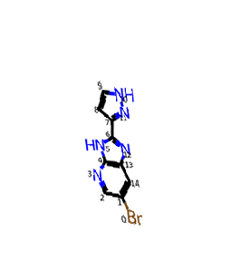 Brc1cnc2[nH]c(-c3cc[nH]n3)nc2c1